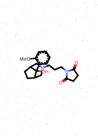 COc1ccccc1C1(O)C2CCC1CN(CCCN1C(=O)CCC1=O)C2